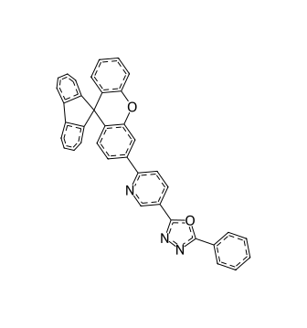 c1ccc(-c2nnc(-c3ccc(-c4ccc5c(c4)Oc4ccccc4C54c5ccccc5-c5ccccc54)nc3)o2)cc1